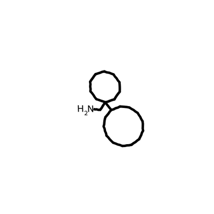 NCC1(C2CCCCCCCCCCCC2)CCCCCCCCC1